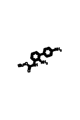 CC(C)(C)OC(=O)Nc1cccc(-c2ccc(N)cc2)c1N